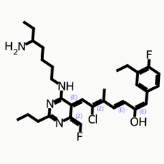 CCCc1nc(NCCCCC(N)CC)c(=C/C(Cl)=C(C)/C=C/C(O)=C\c2ccc(F)c(CC)c2)/c(=C/F)n1